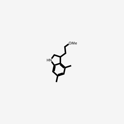 COCCC1CNc2cc(C)cc(C)c21